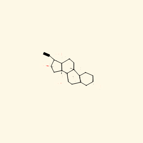 C#C[C@]1(O)[C@H](O)C[C@H]2[C@@H]3[C@@H](O)C[C@@H]4C[C@@H](O)CC[C@]4(C)[C@H]3CC[C@@]21C